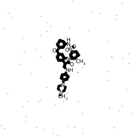 Cc1ccc(S(=O)(=O)Nc2cccc(C(=O)c3ccc4c(c3)NC(=O)C4=CNc3ccc(N4CCN(C)CC4)cc3)c2)cc1